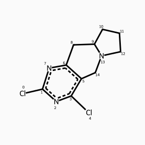 Clc1nc(Cl)c2c(n1)CC1CCCN1C2